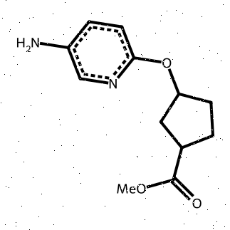 COC(=O)C1CCC(Oc2ccc(N)cn2)C1